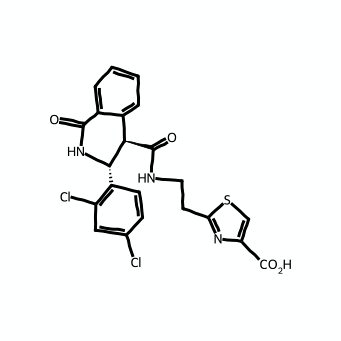 O=C(O)c1csc(CCNC(=O)[C@@H]2c3ccccc3C(=O)N[C@H]2c2ccc(Cl)cc2Cl)n1